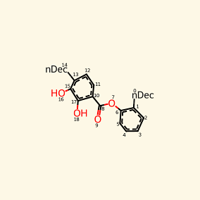 CCCCCCCCCCc1ccccc1OC(=O)c1ccc(CCCCCCCCCC)c(O)c1O